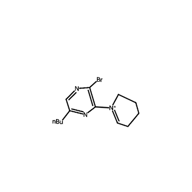 CCCCc1cnc(Br)c([N+]2=CCCCC2)n1